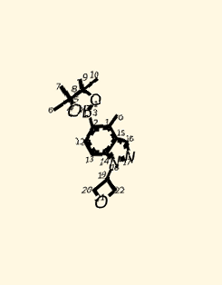 Cc1c(B2OC(C)(C)C(C)(C)O2)ccc2c1cnn2C1COC1